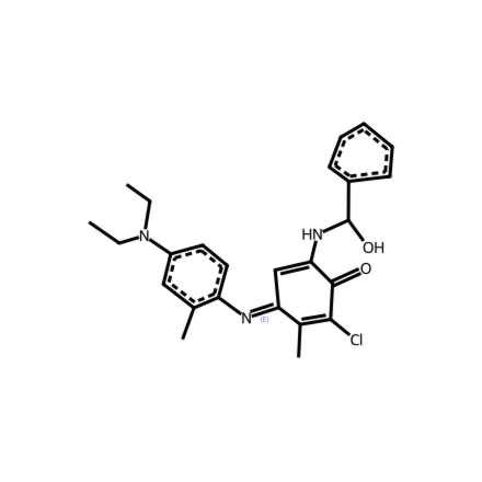 CCN(CC)c1ccc(/N=C2\C=C(NC(O)c3ccccc3)C(=O)C(Cl)=C2C)c(C)c1